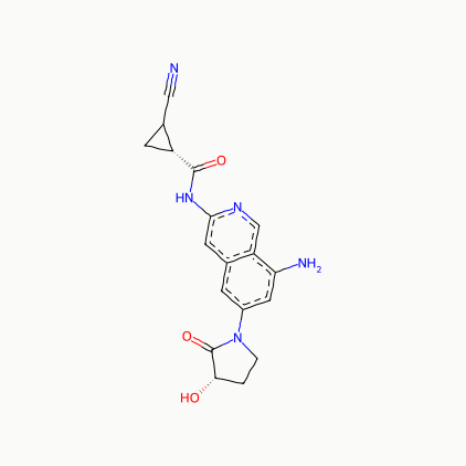 N#CC1C[C@H]1C(=O)Nc1cc2cc(N3CC[C@H](O)C3=O)cc(N)c2cn1